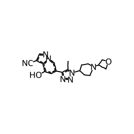 Cc1c(-c2cc(O)c3c(C#N)cnn3c2)nnn1C1CCN(C2COC2)CC1